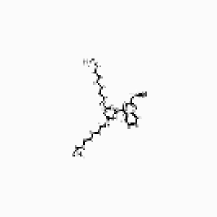 CCCCCCCCOc1nc(OCCCCCCCC)nc(C(OC(=O)CC#N)c2ccccc2)n1